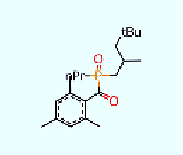 CCCP(=O)(CC(C)CC(C)(C)C)C(=O)c1c(C)cc(C)cc1C